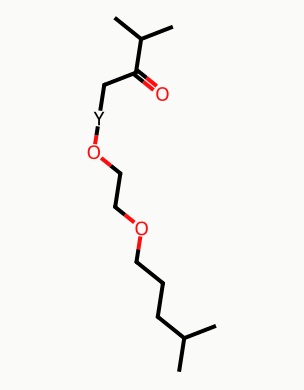 CC(C)CCCOCC[O][Y][CH2]C(=O)C(C)C